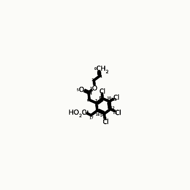 C=CCOC(=O)Cc1c(Cl)c(Cl)c(Cl)c(Cl)c1CC(=O)O